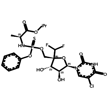 CC(C)OC(=O)[C@H](C)NP(=S)(OC[C@@]1(C(F)F)O[C@@H](n2cc(Cl)c(=O)[nH]c2=O)[C@@H](O)[C@@H]1O)Oc1ccccc1